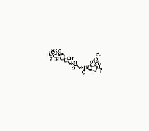 O=C(CCNC(=O)c1ccc(C2=C3C(=O)CCC=C3Oc3cc(O)ccc32)c(C(=O)O)c1)NCC(O)C[n+]1cccc(CC(O)(P(=O)(O)O)P(=O)(O)O)c1